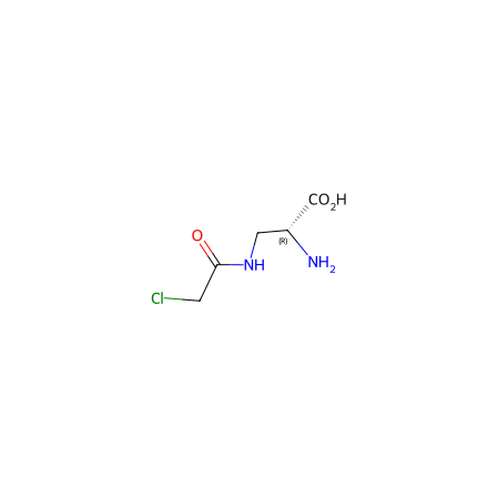 N[C@H](CNC(=O)CCl)C(=O)O